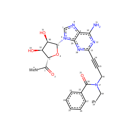 CNC(=O)[C@H]1O[C@@H](n2cnc3c(N)nc(C#CCN(CC(C)C)C(=O)c4ccccc4)nc32)[C@H](O)[C@@H]1O